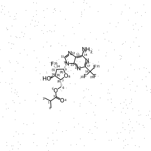 CC(C)C(=O)OC[C@H]1O[C@@H](n2cnc3c(N)nc(C(F)(F)F)nc32)[C@@H](F)[C@@H]1O